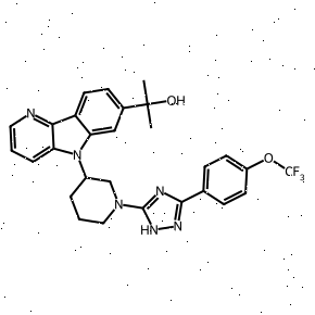 CC(C)(O)c1ccc2c3ncccc3n(C3CCCN(c4nc(-c5ccc(OC(F)(F)F)cc5)n[nH]4)C3)c2c1